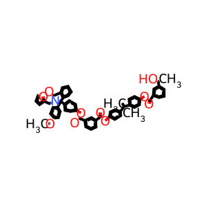 COc1ccc(C2(c3ccc(OC(=O)c4cccc(C(=O)Oc5ccc(C(C)(C)c6ccc(OC(=O)c7cccc(C(C)O)c7)cc6)cc5)c4)cc3)c3ccccc3C(=O)N2Cc2ccco2)cc1